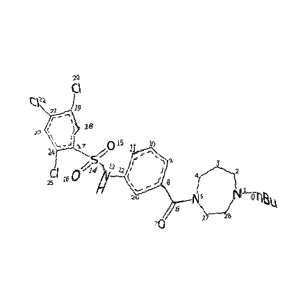 CCCCN1CCCN(C(=O)c2cccc(NS(=O)(=O)c3cc(Cl)c(Cl)cc3Cl)c2)CC1